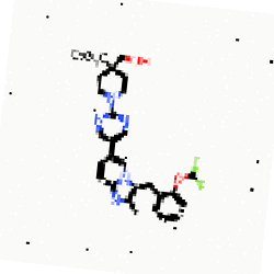 CCOC(=O)C1(CO)CCN(c2ncc(-c3ccc4nc(C)c(Cc5ccccc5OC(F)F)n4c3)cn2)CC1